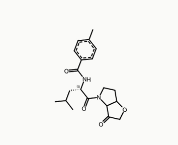 Cc1ccc(C(=O)N[C@@H](CC(C)C)C(=O)N2CCC3OCC(=O)C32)cc1